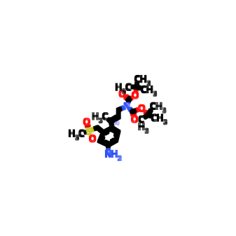 C/C(=C\CN(C(=O)OC(C)(C)C)C(=O)OC(C)(C)C)c1ccc(N)cc1CS(C)(=O)=O